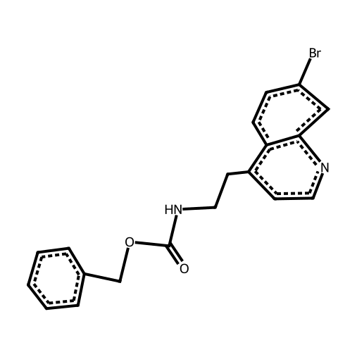 O=C(NCCc1ccnc2cc(Br)ccc12)OCc1ccccc1